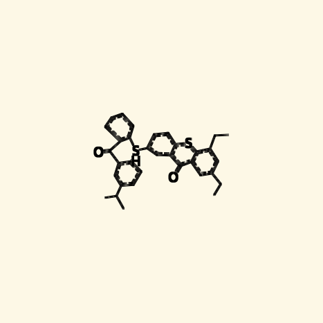 CCc1cc(CC)c2sc3ccc([SH]4c5ccccc5C(=O)c5cc(C(C)C)ccc54)cc3c(=O)c2c1